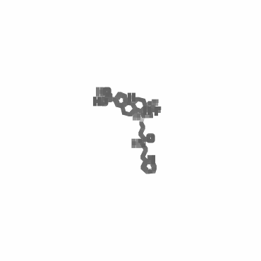 C[C@]12CC[C@@H]3c4ccc(B(O)O)cc4CC[C@H]3[C@@H]1[C@@H](CCCC(=O)NCCc1ccccn1)CC2(F)F